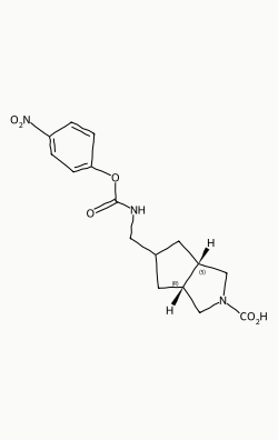 O=C(NCC1C[C@@H]2CN(C(=O)O)C[C@@H]2C1)Oc1ccc([N+](=O)[O-])cc1